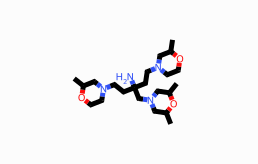 CC1CN(CCC(N)(CCN2CCOC(C)C2)CN2CC(C)OC(C)C2)CCO1